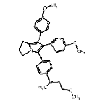 COCCN(C)c1ccc(-c2c(-c3ccc(OC)cc3)c(-c3ccc(OC)cc3)c3n2CCC3)cc1